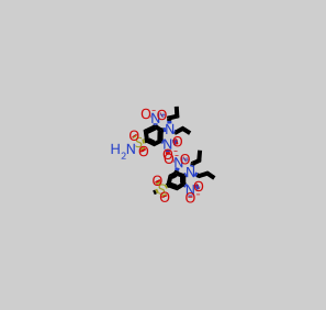 CCCN(CCC)c1c([N+](=O)[O-])cc(S(C)(=O)=O)cc1[N+](=O)[O-].CCCN(CCC)c1c([N+](=O)[O-])cc(S(N)(=O)=O)cc1[N+](=O)[O-]